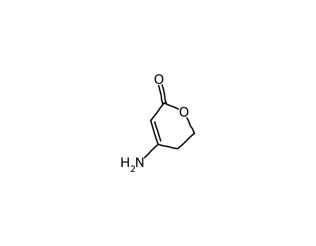 NC1=CC(=O)OCC1